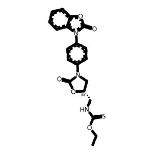 CCOC(=S)NC[C@H]1CN(c2ccc(-n3c(=O)oc4ccccc43)cc2)C(=O)O1